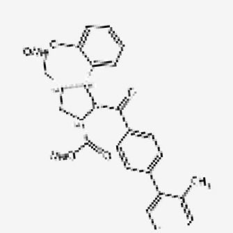 COC[C@H]1C[C@@H](C(=O)OC)N(C(=O)c2ccc(-c3ccccc3C)cc2)[C@H]1c1ccccc1Cl